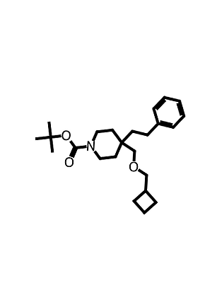 CC(C)(C)OC(=O)N1CCC(CCc2ccccc2)(COCC2CCC2)CC1